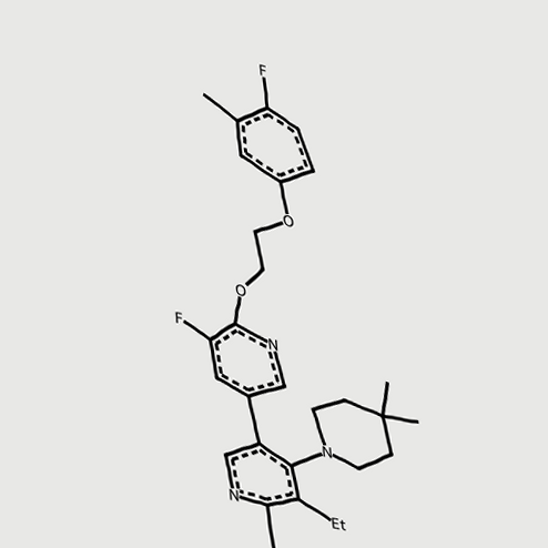 CCc1c(C)ncc(-c2cnc(OCCOc3ccc(F)c(C)c3)c(F)c2)c1N1CCC(C)(C)CC1